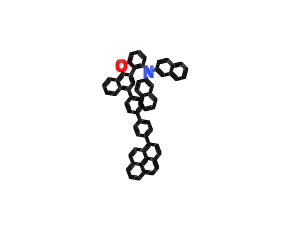 c1ccc2cc(N(c3ccc4ccccc4c3)c3cccc4oc5c6ccccc6c(-c6ccc(-c7ccc(-c8ccc9ccc%10cccc%11ccc8c9c%10%11)cc7)cc6)cc5c34)ccc2c1